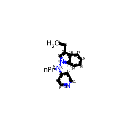 C=Cc1cn(N(CCC)c2ccncc2)c2ccccc12